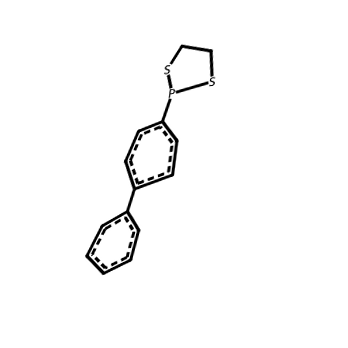 c1ccc(-c2ccc(P3SCCS3)cc2)cc1